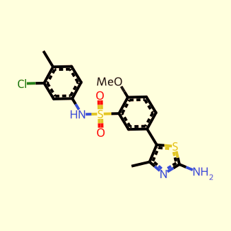 COc1ccc(-c2sc(N)nc2C)cc1S(=O)(=O)Nc1ccc(C)c(Cl)c1